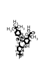 CC(C)(C)c1ccc(S(=O)(=O)N2Cc3ccc(C(F)(F)F)nc3Nc3ccc(C(C)(C)C(=O)O)cc32)cc1